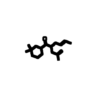 C=C(C)CC(CC=CC)C(=O)C1CCCC(C)(C)C1